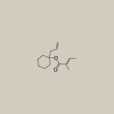 C=CCC1(OC(=O)C(C)=CC)CCCCC1